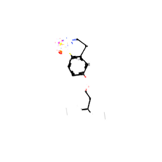 CC(C)CCOc1ccc2c(c1)CCNS2(=O)=O